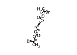 C=C(Br)COC(=O)OC#CCCOC(=O)OCC(=C)Br